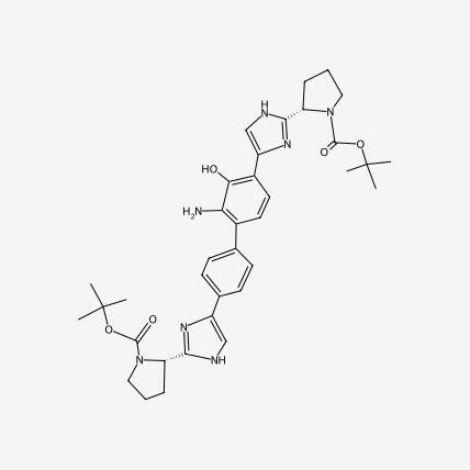 CC(C)(C)OC(=O)N1CCC[C@H]1c1nc(-c2ccc(-c3ccc(-c4c[nH]c([C@@H]5CCCN5C(=O)OC(C)(C)C)n4)c(O)c3N)cc2)c[nH]1